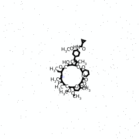 CCC1/C=C(\C)C(F)C(C)CC(OC)C2OC(O)(C(=O)C(=O)N3CCCCC3C(=O)OC(C(C)=CC3CCC(NC(=O)C4CC4)C(OC)C3)C(C)C(O)CC1=O)C(C)CC2OC